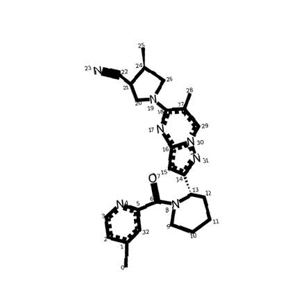 Cc1ccnc(C(=O)N2CCCC[C@H]2c2cc3nc(N4CC(C#N)[C@@H](C)C4)c(C)cn3n2)c1